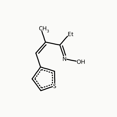 CCC(=NO)C(C)=Cc1ccsc1